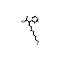 CCCCCCCC/C=C(/C(=O)O)c1ccncc1